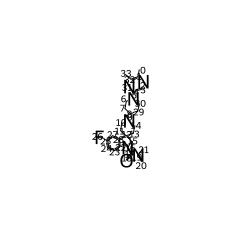 Cc1ncc(N2CCC(N3CCC4(CC3)CN(C(=O)N(C)C)c3ccc(F)cc34)CC2)nc1C